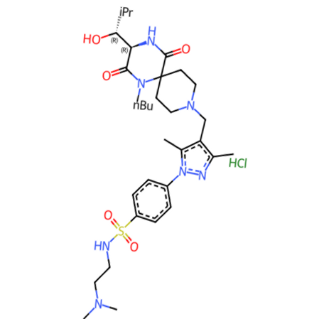 CCCCN1C(=O)[C@@H]([C@H](O)C(C)C)NC(=O)C12CCN(Cc1c(C)nn(-c3ccc(S(=O)(=O)NCCN(C)C)cc3)c1C)CC2.Cl